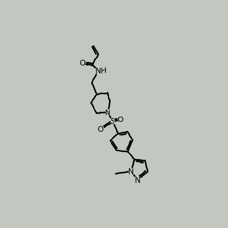 C=CC(=O)NCC1CCN(S(=O)(=O)c2ccc(-c3ccnn3C)cc2)CC1